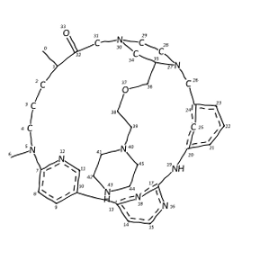 CC1CCCN(C)c2ccc(cn2)-c2ccnc(n2)Nc2cccc(c2)CN2CCN(CC1=O)CC2COCCN1CCNCC1